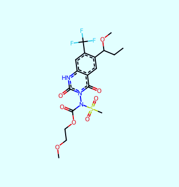 CCC(OC)c1cc2c(=O)n(N(C(=O)OCCOC)S(C)(=O)=O)c(=O)[nH]c2cc1C(F)(F)F